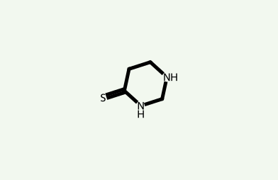 S=C1CCNCN1